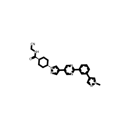 Cn1cc(-c2cccc(-c3ncc(-c4cnn([C@H]5CC[C@H](C(=O)NCC#N)CC5)c4)cn3)c2)cn1